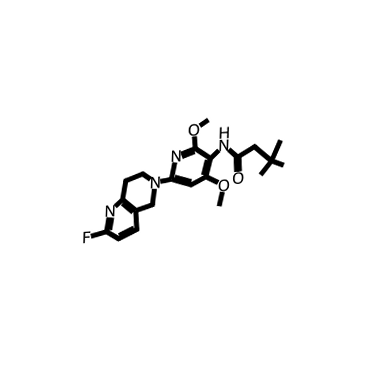 COc1cc(N2CCc3nc(F)ccc3C2)nc(OC)c1NC(=O)CC(C)(C)C